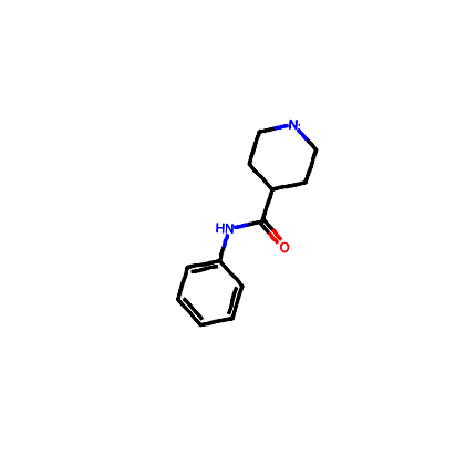 O=C(Nc1ccccc1)C1CC[N]CC1